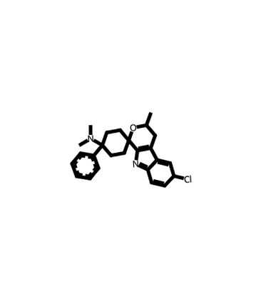 CC1CC2=C(N=C3C=CC(Cl)C=C32)C2(CCC(c3ccccc3)(N(C)C)CC2)O1